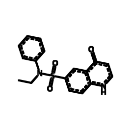 CCN(c1ccccc1)S(=O)(=O)c1ccc2[nH]ccc(=O)c2c1